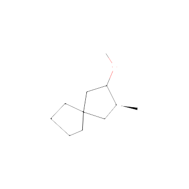 COC1CC2(CCCC2)C[C@@H]1C